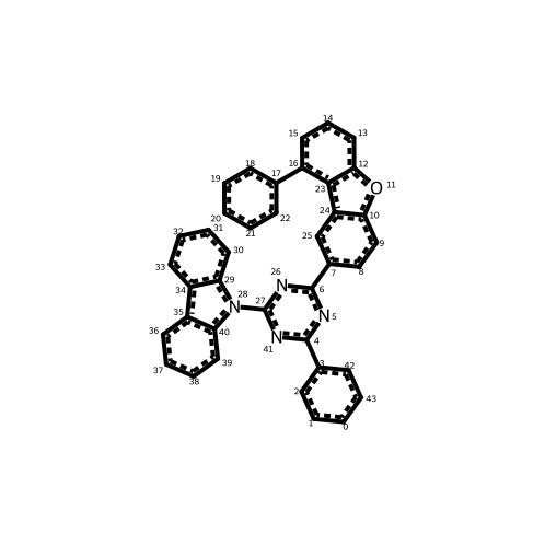 c1ccc(-c2nc(-c3ccc4oc5cccc(-c6ccccc6)c5c4c3)nc(-n3c4ccccc4c4ccccc43)n2)cc1